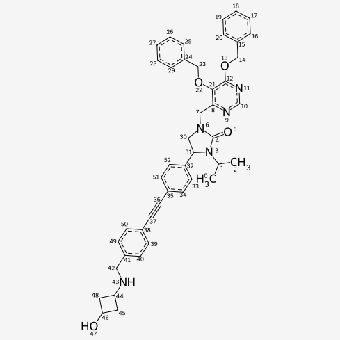 CC(C)N1C(=O)N(Cc2ncnc(OCc3ccccc3)c2OCc2ccccc2)CC1c1ccc(C#Cc2ccc(CNC3CC(O)C3)cc2)cc1